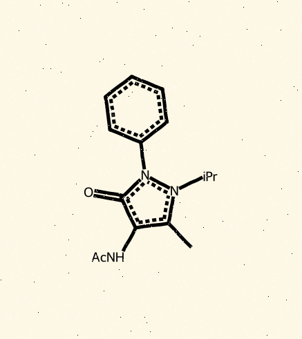 CC(=O)Nc1c(C)n(C(C)C)n(-c2ccccc2)c1=O